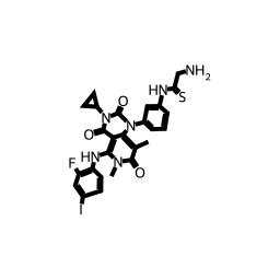 Cc1c(=O)n(C)c(Nc2ccc(I)cc2F)c2c(=O)n(C3CC3)c(=O)n(-c3cccc(NC(=S)CN)c3)c12